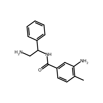 Cc1ccc(C(=O)NC(CN)c2ccccc2)cc1N